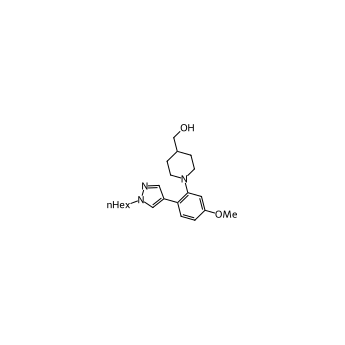 CCCCCCn1cc(-c2ccc(OC)cc2N2CCC(CO)CC2)cn1